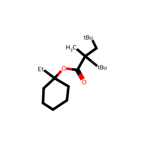 CCC1(OC(=O)C(C)(CC(C)(C)C)C(C)(C)C)CCCCC1